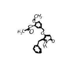 COc1ccc(COC2=CC(=O)NC2Cc2ccccc2)cc1OC(C)=O